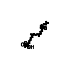 CC1=C(O)/C(=C/CCCC/C(C)=C\CC/C(C)=C\CCC2=CCN(CCC(C)C)C2=O)OC1=O